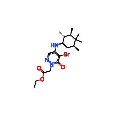 CCOC(=O)Cn1ncc(N[C@@H]2C[C@H](C)C(C)(C)[C@H](C)[C@H]2C)c(Br)c1=O